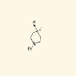 C#CC1(F)CCN(CC)CC1